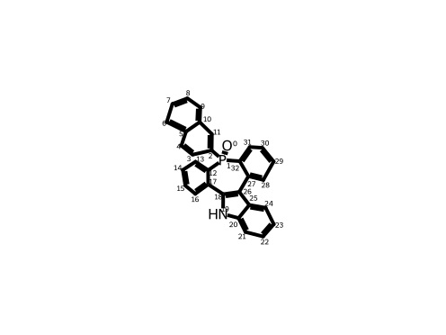 O=P1(c2ccc3ccccc3c2)c2ccccc2-c2[nH]c3ccccc3c2-c2ccccc21